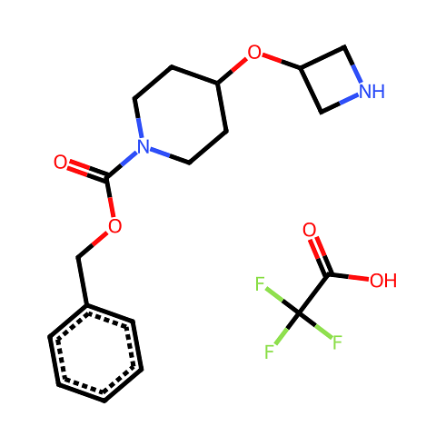 O=C(O)C(F)(F)F.O=C(OCc1ccccc1)N1CCC(OC2CNC2)CC1